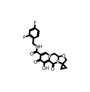 O=C(NCc1ccc(F)cc1F)c1cn2c(c(O)c1=O)C(=O)N1C(C2)OCC12CC2